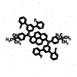 C[Si](C)(C)c1ccc(N(c2cc(-c3ccccc3F)cc(-c3ccccc3F)c2)c2ccc3ccc4c(N(c5ccc([Si](C)(C)C)cc5)c5cc(-c6ccccc6F)cc(-c6ccccc6F)c5)ccc5ccc2c3c54)cc1